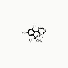 CC(C)(C)c1cc(Cl)cc(Cl)c1-c1ncncn1